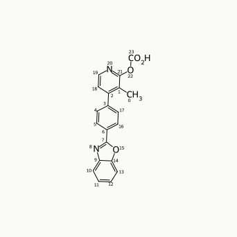 Cc1c(-c2ccc(-c3nc4ccccc4o3)cc2)ccnc1OC(=O)O